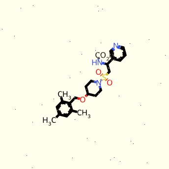 Cc1cc(C)c(COC2CCN(S(=O)(=O)CC(NC(=O)O)c3cccnc3)CC2)c(C)c1